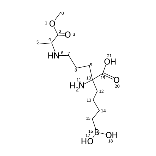 COC(=O)C(C)NCCCC(N)(CCCCB(O)O)C(=O)O